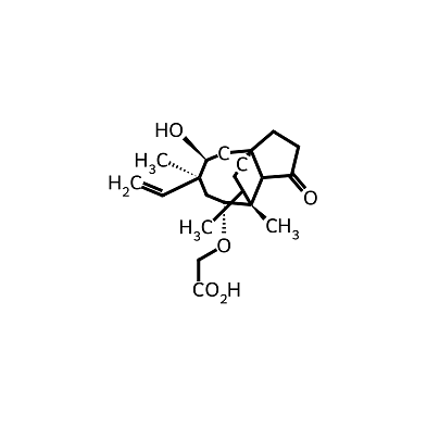 C=C[C@]1(C)C[C@@H](OCC(=O)O)[C@]2(C)C(C)CC[C@]3(CCC(=O)C32)C[C@@H]1O